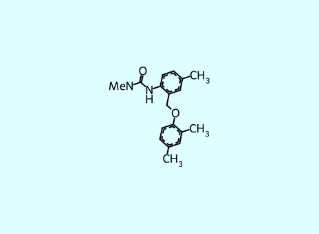 CNC(=O)Nc1ccc(C)cc1COc1ccc(C)cc1C